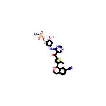 Cc1sc(C(=O)c2cncnc2N[C@@H]2C[C@H](COS(N)(=O)=O)[C@@H](O)C2)cc1C1OCCc2ccc(C#N)cc21